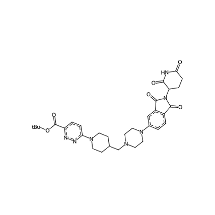 CC(C)(C)OC(=O)c1ccc(N2CCC(CN3CCN(c4ccc5c(c4)C(=O)N(C4CCC(=O)NC4=O)C5=O)CC3)CC2)nn1